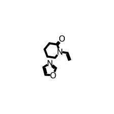 C=CN1CCCCC1=O.c1cocn1